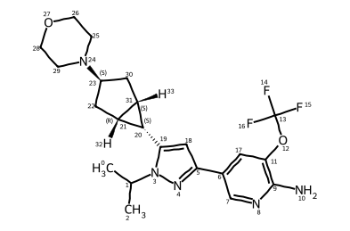 CC(C)n1nc(-c2cnc(N)c(OC(F)(F)F)c2)cc1[C@@H]1[C@@H]2C[C@@H](N3CCOCC3)C[C@@H]21